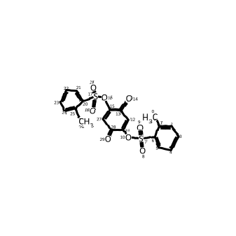 Cc1ccccc1S(=O)(=O)OC1=CC(=O)C(OS(=O)(=O)c2ccccc2C)=CC1=O